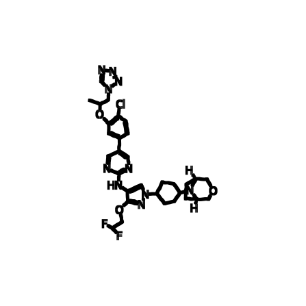 CC(Cn1cnnn1)Oc1cc(-c2cnc(Nc3cn(C4CCC(N5[C@@H]6CC[C@H]5COC6)CC4)nc3OCC(F)F)nc2)ccc1Cl